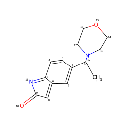 CC(c1ccc2c(c1)=CC(=O)N=2)N1CCOCC1